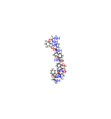 CNC(C)C(=O)NC(C(=O)N1CCC[C@H]1C(=O)N[C@@H]1CCOc2c(NC(=O)c3cccc4c3OCC[C@H]4NC(=O)[C@@H]3CCCN3C(=O)C(NC(=O)C(C)NC)C3CCCCC3)cccc21)C1CCCCC1